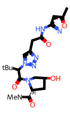 CNC(=O)[C@H]1CC(O)CN1C(=O)C(n1cc(CC(=O)Nc2cc(C)on2)nn1)C(C)(C)C